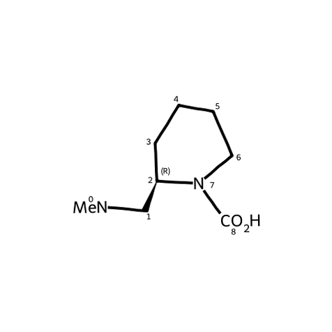 CNC[C@H]1CCCCN1C(=O)O